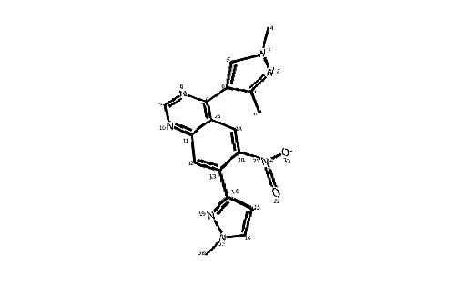 Cc1nn(C)cc1-c1ncnc2cc(-c3ccn(C)n3)c([N+](=O)[O-])cc12